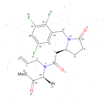 C=CCN(C(=O)C[C@@H]1CCC(=O)N1Cc1cc(F)cc(F)c1F)[C@H](C(=O)OC)C(C)C